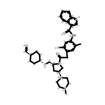 Cc1cc(CC(=O)N2C[C@@H](N3CCN(C)CC3)C[C@H]2CO[C@H]2CC[C@H](C=O)CC2)c(F)cc1NC(=O)c1csc2ccccc12